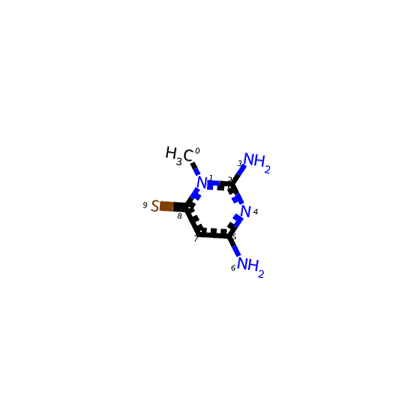 Cn1c(N)nc(N)cc1=S